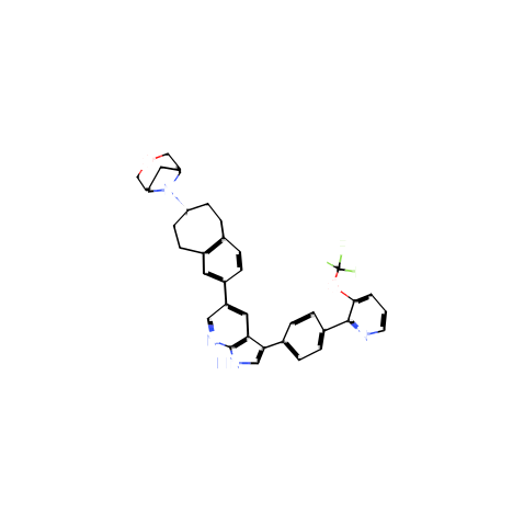 FC(F)(F)Oc1cccnc1-c1ccc(-c2c[nH]c3ncc(-c4ccc5c(c4)CC[C@@H](N4C6COCC4C6)CC5)cc23)cc1